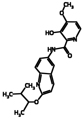 COc1ccnc(C(=O)Nc2ccc3nc(OC(C)C(C)C)ccc3c2)c1O